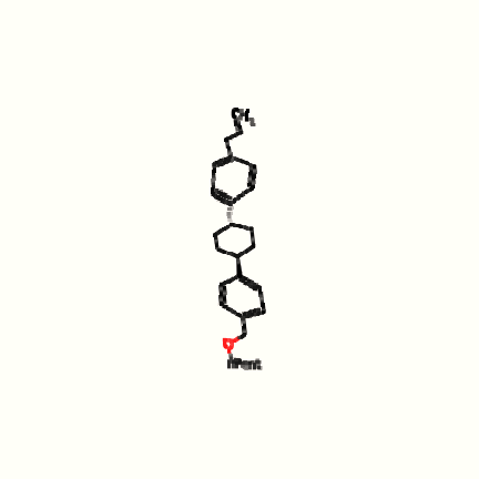 C=CCc1ccc([C@H]2CC[C@H](c3ccc(COCCCCC)cc3)CC2)cc1